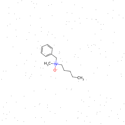 CCCCC[N+](C)([O-])Cc1ccccc1